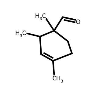 CC1=CC(C)C(C)(C=O)CC1